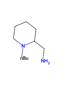 CCCCN1CCCCC1CN